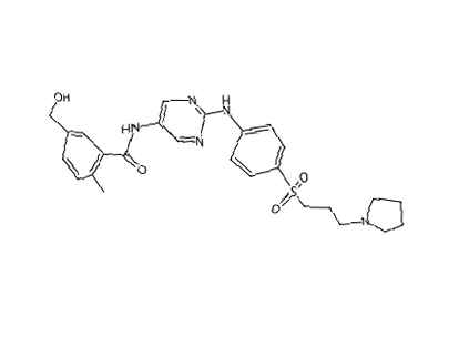 Cc1ccc(CO)cc1C(=O)Nc1cnc(Nc2ccc(S(=O)(=O)CCCN3CCCC3)cc2)nc1